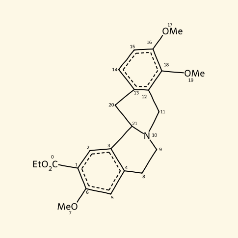 CCOC(=O)c1cc2c(cc1OC)CCN1Cc3c(ccc(OC)c3OC)CC21